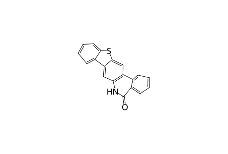 O=c1[nH]c2cc3c(cc2c2ccccc12)sc1ccccc13